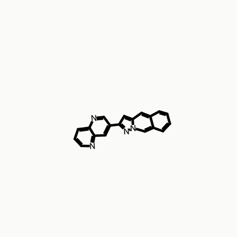 c1ccc2cn3nc(-c4cnc5cccnc5c4)cc3cc2c1